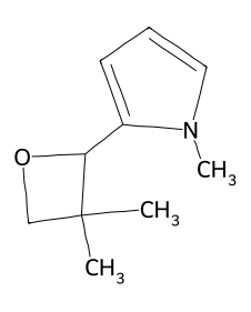 Cn1cccc1C1OCC1(C)C